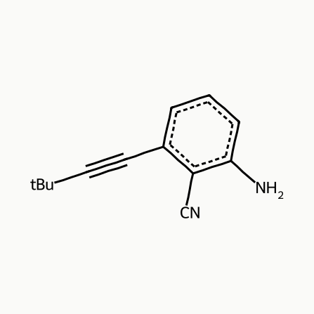 CC(C)(C)C#Cc1cccc(N)c1C#N